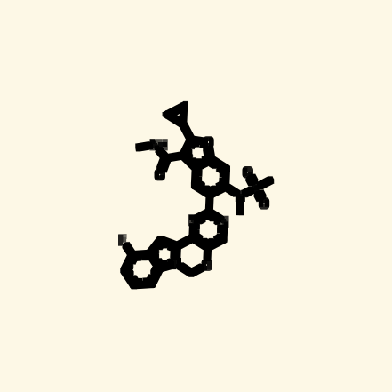 CNC(=O)c1c(C2CC2)oc2cc(N(C)S(C)(=O)=O)c(-c3ncc4c(n3)-c3cc5c(F)cccc5n3CO4)cc12